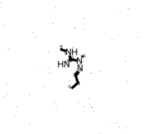 CC/C=N/N(C)C(=N)NC